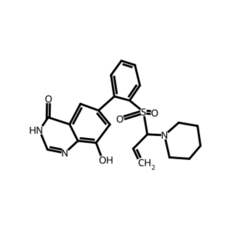 C=CC(N1CCCCC1)S(=O)(=O)c1ccccc1-c1cc(O)c2nc[nH]c(=O)c2c1